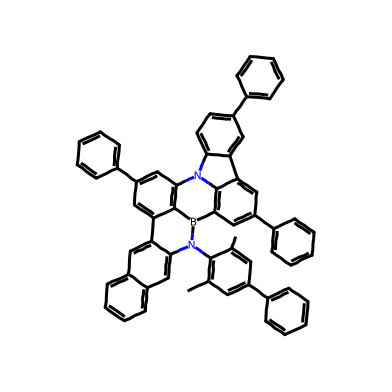 Cc1cc(-c2ccccc2)cc(C)c1N1B2c3c(cc(-c4ccccc4)cc3-n3c4ccc(-c5ccccc5)cc4c4cc(-c5ccccc5)cc2c43)-c2cc3ccccc3cc21